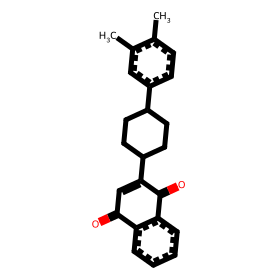 Cc1ccc(C2CCC(C3=CC(=O)c4ccccc4C3=O)CC2)cc1C